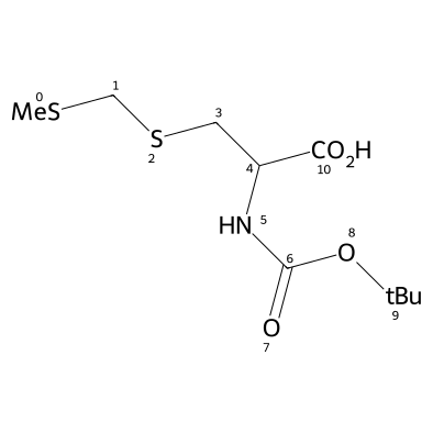 CSCSCC(NC(=O)OC(C)(C)C)C(=O)O